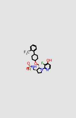 O=[SH](=O)NC[C@@H]1CCN(c2nccc(O)c2F)[C@H]1COC1CCC(c2ccccc2C(F)(F)F)CC1